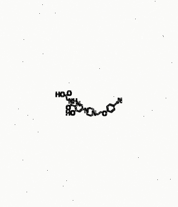 N#Cc1ccc(OCCN2CCN(c3cnc(C(=O)NCC(=O)O)c(O)c3)CC2)cc1